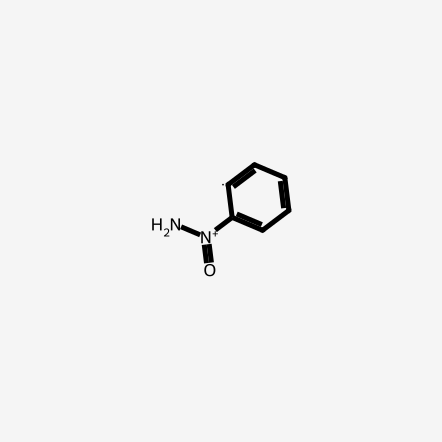 N[N+](=O)c1[c]cccc1